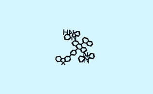 CN1c2ccccc2N(c2ccc3c(-c4cccc5ccccc45)c4cc(N5c6ccccc6Nc6ccccc65)ccc4c(-c4ccc(-c5ccc6c(c5)C5=C(CCCC5)C6(C)C)cc4)c3c2)c2ccccc21